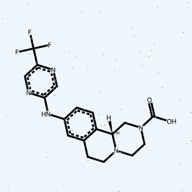 O=C(O)N1CCN2CCc3cc(Nc4cnc(C(F)(F)F)cn4)ccc3[C@@H]2C1